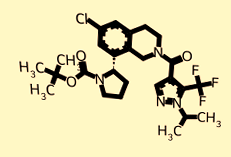 CC(C)n1ncc(C(=O)N2CCc3cc(Cl)cc([C@@H]4CCCN4C(=O)OC(C)(C)C)c3C2)c1C(F)(F)F